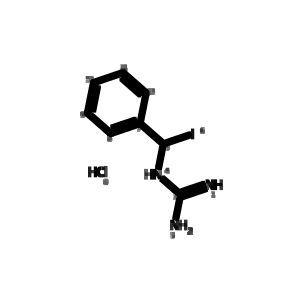 Cl.N=C(N)NC(I)c1ccccc1